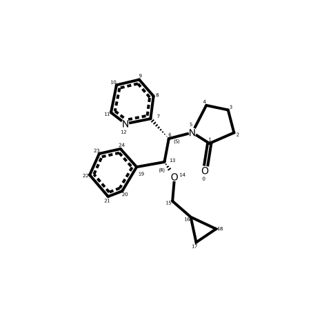 O=C1CCCN1[C@@H](c1ccccn1)[C@H](OCC1CC1)c1ccccc1